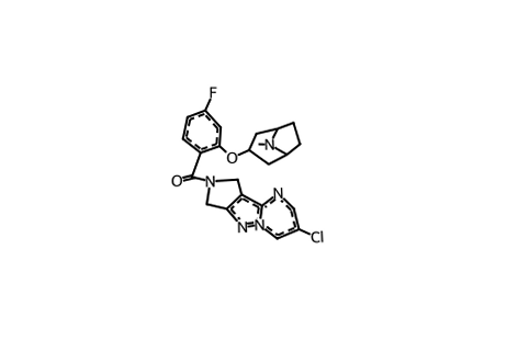 CN1C2CCC1CC(Oc1cc(F)ccc1C(=O)N1Cc3nn4cc(Cl)cnc4c3C1)C2